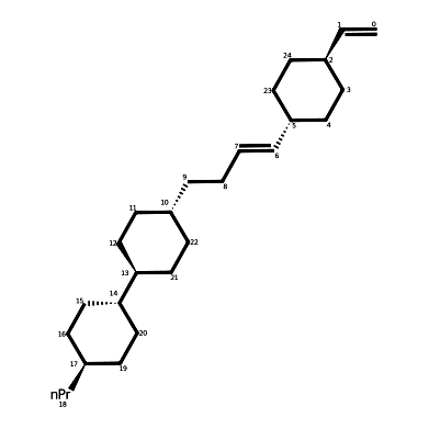 C=C[C@H]1CC[C@H](C=CCC[C@H]2CC[C@H]([C@H]3CC[C@H](CCC)CC3)CC2)CC1